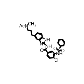 CC(=O)N(C)CCCc1ccc2[nH]c(NC(=O)c3ccc(Cl)c(NS(=O)(=O)c4ccccc4)c3)nc2c1